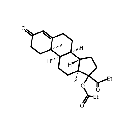 CCC(=O)OC1(C(=O)CC)CC[C@H]2[C@@H]3CCC4=CC(=O)CC[C@]4(C)[C@@H]3CC[C@@]21C